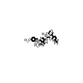 Cc1ccc(CNc2ncc(NC(=O)C(=O)N3C(C)COCC3c3ccc(C(F)(F)F)nc3)c3cnn(C)c23)c(C)c1